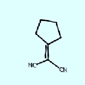 N#CC(C#N)=C1CCCC1